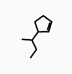 [CH2]C(CC)C1C=CCC1